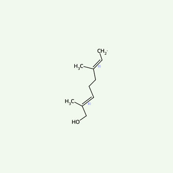 [CH2]/C=C(\C)CC/C=C(\C)CO